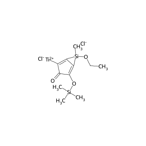 CCO[Si]1(C)C2=[C]([Ti+2])C(=O)C(O[Si](C)(C)C)=C21.[Cl-].[Cl-]